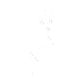 CC(C)(CF)c1nc(-c2ccc(C(=O)N3CCN(c4nc5ccccc5c(=O)[nH]4)CC3)cc2)no1